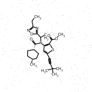 CCc1noc(C(C)N(c2cc(C#CC(C)(C)C)sc2C(=O)OC)C(=O)[C@H]2CC[C@H](C)CC2)n1